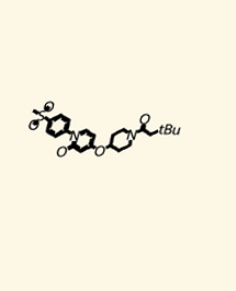 CC(C)(C)CC(=O)N1CCC(Oc2ccn(-c3ccc(S(C)(=O)=O)cc3)c(=O)c2)CC1